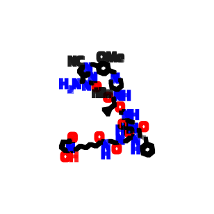 CCCCOc1nc(N)c2cc(C#N)n(Cc3ccc(CN4CCC(NC(=O)[C@@H](OCNC(=O)CNC(=O)[C@H](Cc5ccccc5)NC(=O)CNC(=O)CNC(=O)CCCCCN5C(=O)C=CC5O)C5CC5)CC4)cc3OC)c2n1